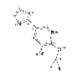 Brc1cc(-c2nccs2)cnc1OC1CC1